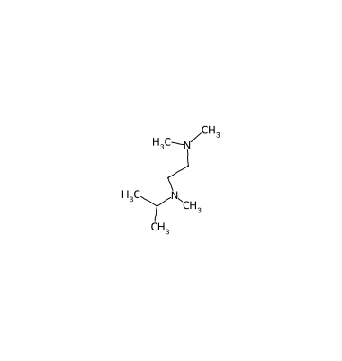 CC(C)N(C)CCN(C)C